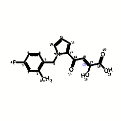 Cc1cc(F)ccc1Cn1cccc1C(=O)/C=C(\O)C(=O)O